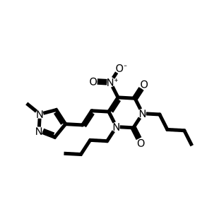 CCCCn1c(C=Cc2cnn(C)c2)c([N+](=O)[O-])c(=O)n(CCCC)c1=O